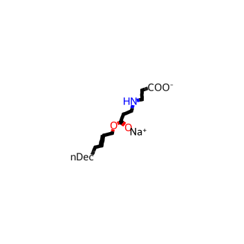 CCCCCCCCCCCC=CCOC(=O)CCNCCC(=O)[O-].[Na+]